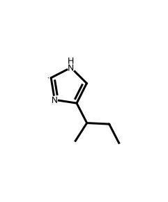 CCC(C)c1c[nH][c]n1